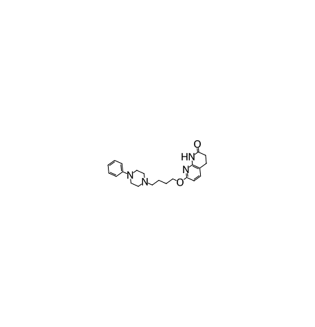 O=C1CCc2ccc(OCCCCN3CCN(c4ccccc4)CC3)nc2N1